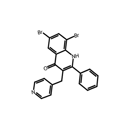 O=c1c(Cc2ccncc2)c(-c2ccccc2)[nH]c2c(Br)cc(Br)cc12